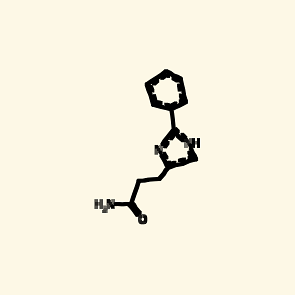 NC(=O)CCc1c[nH]c(-c2ccccc2)n1